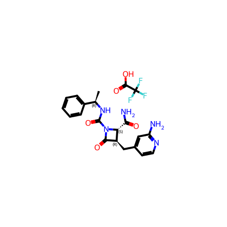 C[C@@H](NC(=O)N1C(=O)[C@H](Cc2ccnc(N)c2)[C@H]1C(N)=O)c1ccccc1.O=C(O)C(F)(F)F